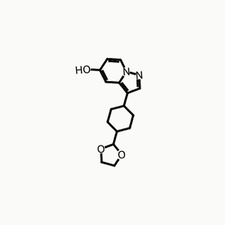 Oc1ccn2ncc(C3CCC(C4OCCO4)CC3)c2c1